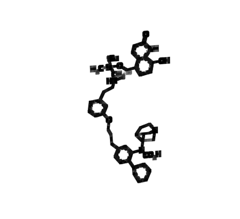 CC(C)(C)[Si](C)(C)O[C@@H](CNCCc1cccc(OCCCc2ccc(-c3ccccc3)c(N(C(=O)O)C3CN4CCC3CC4)c2)c1)c1ccc(O)c2[nH]c(=O)ccc12